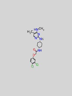 CNc1nc(N[C@H]2CC[C@@H](NC(=O)COc3ccc(Cl)c(Cl)c3)CC2)ncc1C